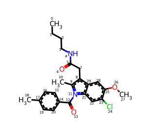 CCCCNC(=O)Cc1c(C)n(C(=O)c2ccc(C)cc2)c2cc(Cl)c(OC)cc12